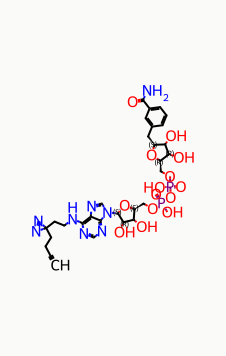 C#CCCC1(CCNc2ncnc3c2ncn3[C@H]2O[C@@H](COP(=O)(O)OP(=O)(O)OC[C@H]3O[C@@H](Cc4cccc(C(N)=O)c4)C(O)[C@H]3O)C(O)[C@H]2O)N=N1